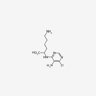 NCCCCC(Nc1ncnc(Cl)c1N)C(=O)O